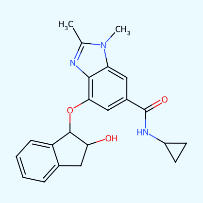 Cc1nc2c(OC3c4ccccc4CC3O)cc(C(=O)NC3CC3)cc2n1C